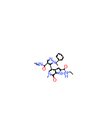 CCNC(=O)c1cc2c(-c3c(C(=O)NCC)cnn3C(C)c3ccccc3)cn(C)c(=O)c2[nH]1